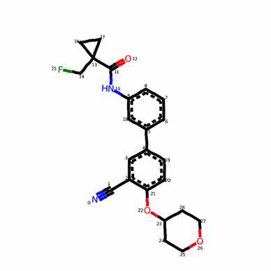 N#Cc1cc(-c2cccc(NC(=O)C3(CF)CC3)c2)ccc1OC1CCOCC1